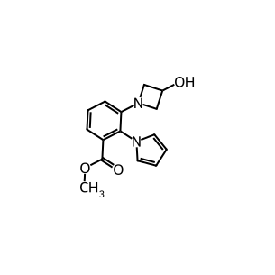 COC(=O)c1cccc(N2CC(O)C2)c1-n1cccc1